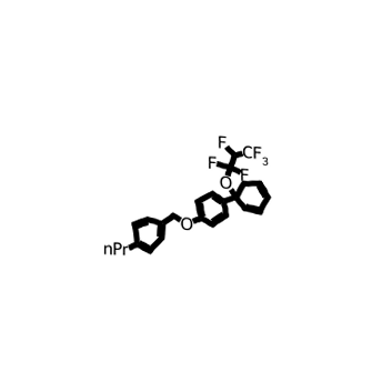 CCCc1ccc(COc2ccc(C3(OC(F)(F)C(F)C(F)(F)F)C=CC=CC3)cc2)cc1